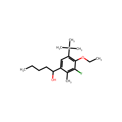 CCCCC(O)c1cc([Si](C)(C)C)c(OCC)c(F)c1C